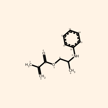 C=C(C)C(=O)OCC(C)Nc1ccccc1